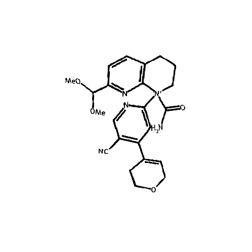 COC(OC)c1ccc2c(n1)[N+](C(N)=O)(c1cc(C3=CCOCC3)c(C#N)cn1)CCC2